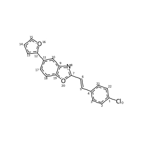 Clc1ccc(/C=C/c2nc3cc(-c4ccco4)ccc3o2)cc1